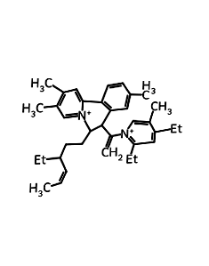 C=C(C1c2cc(C)ccc2-c2cc(C)c(C)c[n+]2C1CCC(/C=C\C)CC)[n+]1cc(C)c(CC)cc1CC